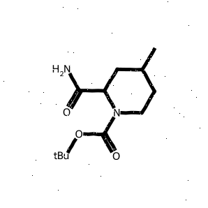 CC1CCN(C(=O)OC(C)(C)C)C(C(N)=O)C1